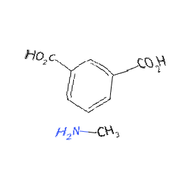 CN.O=C(O)c1cccc(C(=O)O)c1